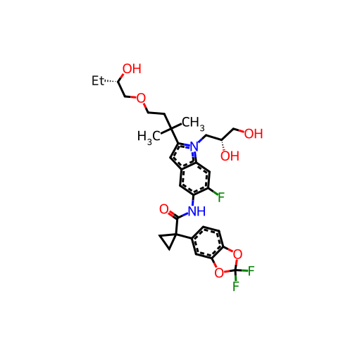 CC[C@H](O)COCCC(C)(C)c1cc2cc(NC(=O)C3(c4ccc5c(c4)OC(F)(F)O5)CC3)c(F)cc2n1C[C@@H](O)CO